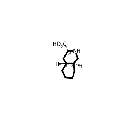 O=C(O)[C@H]1C[C@H]2CCCC[C@@H]2CN1